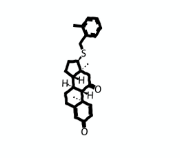 Cc1ccccc1CS[C@@H]1CC[C@H]2[C@@H]3CCC4=CC(=O)C=C[C@]4(C)[C@H]3C(=O)C[C@]12C